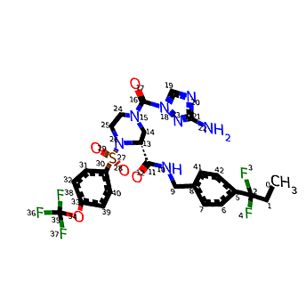 CCC(F)(F)c1ccc(CNC(=O)[C@H]2CN(C(=O)n3cnc(N)n3)CCN2S(=O)(=O)c2ccc(OC(F)(F)F)cc2)cc1